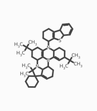 CC(C)(C)C1C=C2B3C4=C(CC(C(C)(C)C)CC4N4C5C(=CCCC35)C3(CCCCC3)C4(C)C)N(C3CCCC4=C3SC3C=CC=CC43)C2CC1